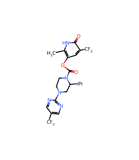 Cc1[nH]c(=O)c(C(F)(F)F)cc1OC(=O)N1CCN(c2ncc(C(F)(F)F)cn2)CC1C(C)C